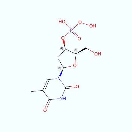 Cc1cn([C@H]2C[C@@H](OP(=O)(O)OO)[C@@H](CO)O2)c(=O)[nH]c1=O